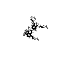 C=CCOC(=O)c1ccccc1C(=O)OCC=C.C=CCc1ccc(C(=O)O)c(C(=O)O)c1CC=C